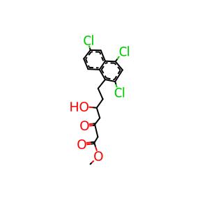 COC(=O)CC(=O)CC(O)CCc1c(Cl)cc(Cl)c2cc(Cl)ccc12